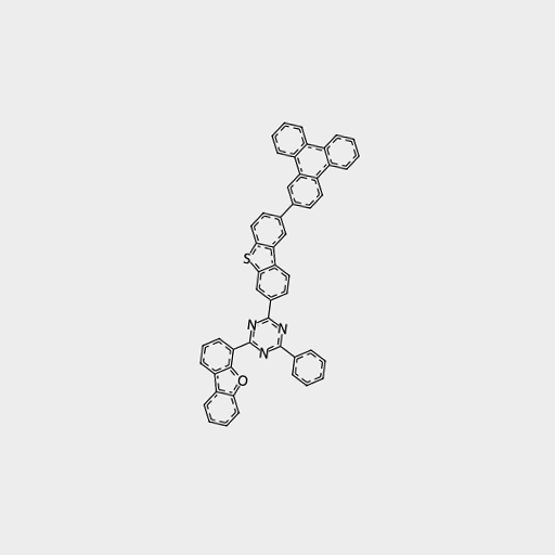 c1ccc(-c2nc(-c3ccc4c(c3)sc3ccc(-c5ccc6c7ccccc7c7ccccc7c6c5)cc34)nc(-c3cccc4c3oc3ccccc34)n2)cc1